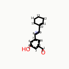 O=Cc1cc(O)cc(/C=C/C2=CCCCC2)c1